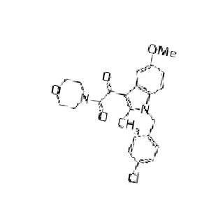 COc1ccc2c(c1)c(C(=O)C(=O)N1CCOCC1)c(C)n2Cc1ccc(Cl)cc1